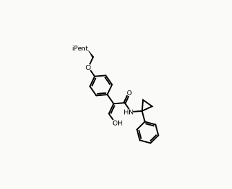 CCC[C@H](C)COc1ccc(C(=CO)C(=O)NC2(c3ccccc3)CC2)cc1